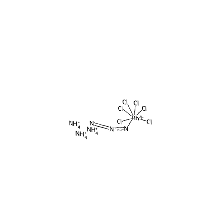 [N-]=[N+]=[N][Rh-4]([Cl])([Cl])([Cl])([Cl])([Cl])[Cl].[NH4+].[NH4+].[NH4+]